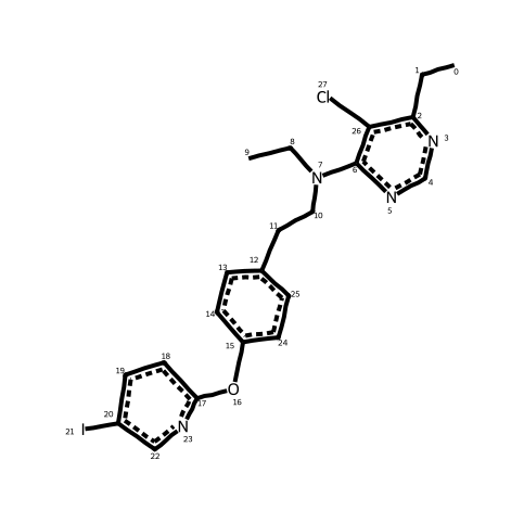 CCc1ncnc(N(CC)CCc2ccc(Oc3ccc(I)cn3)cc2)c1Cl